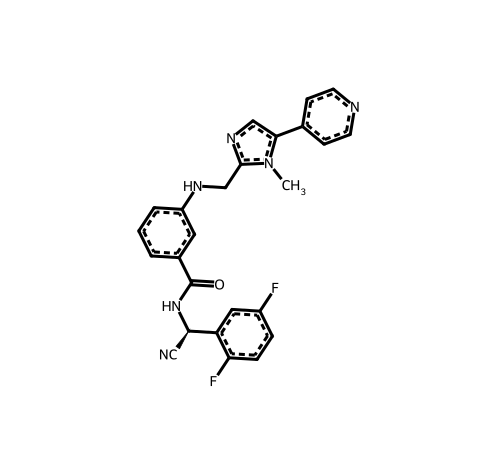 Cn1c(-c2ccncc2)cnc1CNc1cccc(C(=O)N[C@H](C#N)c2cc(F)ccc2F)c1